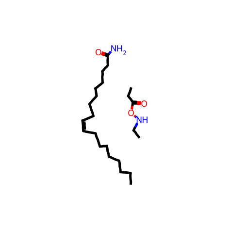 CCCCCCCC/C=C\CCCCCCCC(N)=O.CCNOC(=O)CC